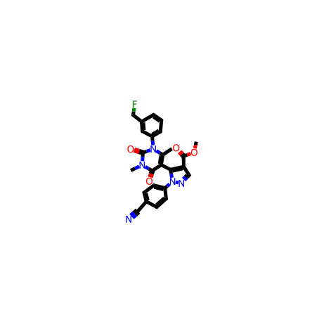 COC(=O)c1cnn(-c2ccc(C#N)cc2)c1-c1c(C)n(-c2cccc(CF)c2)c(=O)n(C)c1=O